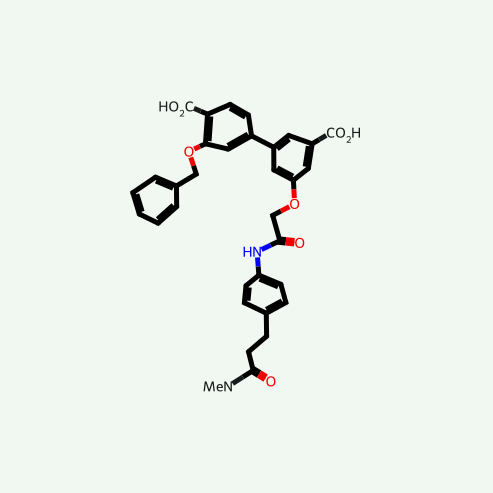 CNC(=O)CCc1ccc(NC(=O)COc2cc(C(=O)O)cc(-c3ccc(C(=O)O)c(OCc4ccccc4)c3)c2)cc1